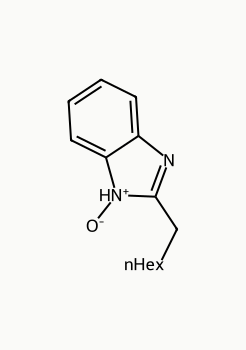 CCCCCCCC1=Nc2ccccc2[NH+]1[O-]